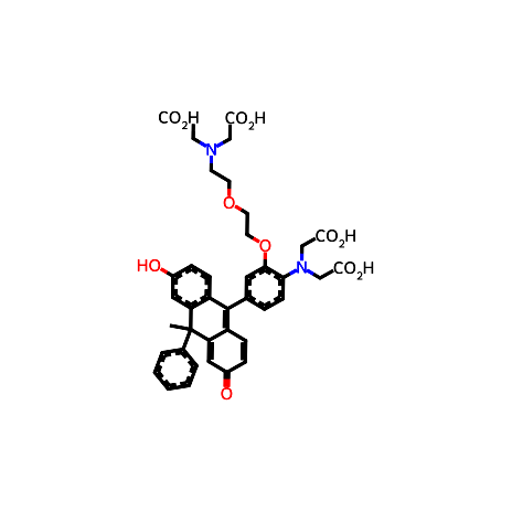 CC1(c2ccccc2)C2=CC(=O)C=CC2=C(c2ccc(N(CC(=O)O)CC(=O)O)c(OCCOCCN(CC(=O)O)CC(=O)O)c2)c2ccc(O)cc21